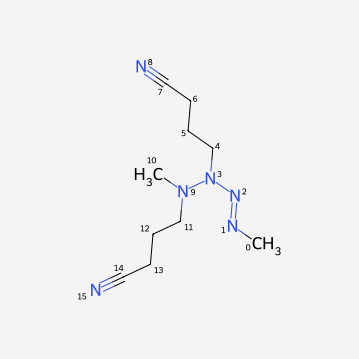 CN=NN(CCCC#N)N(C)CCCC#N